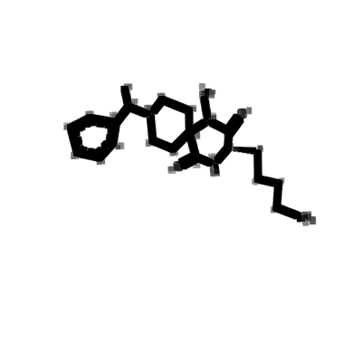 CCCN1C(=O)[C@H](CCCCN)NC(=O)C12CCN(C(C)c1ccccc1)CC2